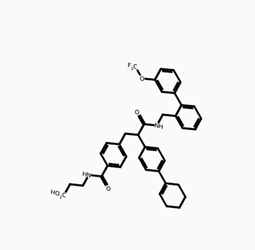 O=C(O)CCNC(=O)c1ccc(CC(C(=O)NCc2ccccc2-c2cccc(OC(F)(F)F)c2)c2ccc(C3=CCCCC3)cc2)cc1